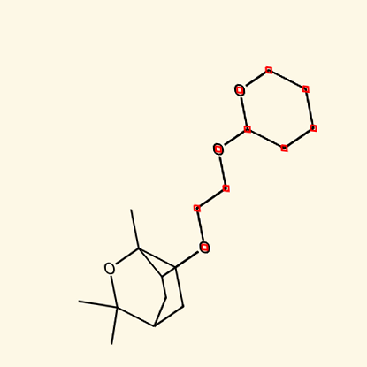 CC1(C)OC2(C)C(OCCOC3CCCCO3)CC1CC2OCCOC1CCCCO1